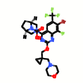 O=C(O)N1[C@@H]2CC[C@H]1CN(c1nc(OCC3(CN4CCOCC4)CC3)nc3c(F)c(Br)c(C(F)(F)F)cc13)C2